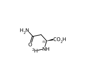 [2H]N[C@@H](CC(N)=O)C(=O)O